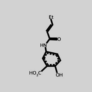 CCC=CC(=O)Nc1ccc(O)c(C(=O)O)c1